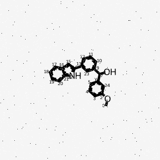 COc1cccc(C(O)c2cccc(-c3cc4ccccc4[nH]3)c2)c1